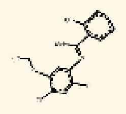 CN/C(=N\c1cc(SCC(F)(F)F)c(Cl)cc1Cl)c1ccccc1C